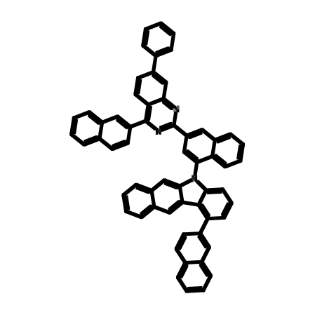 c1ccc(-c2ccc3c(-c4ccc5ccccc5c4)nc(-c4cc(-n5c6cc7ccccc7cc6c6c(-c7ccc8ccccc8c7)cccc65)c5ccccc5c4)nc3c2)cc1